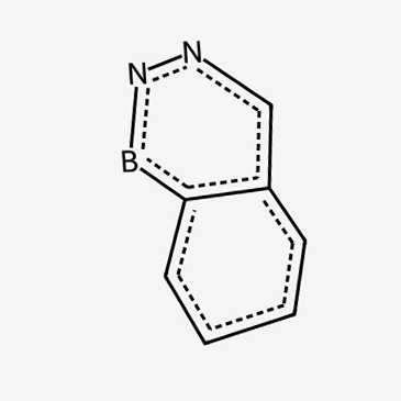 b1nncc2ccccc12